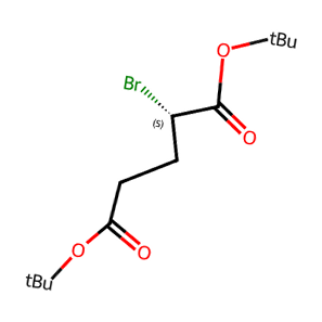 CC(C)(C)OC(=O)CC[C@H](Br)C(=O)OC(C)(C)C